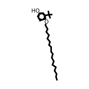 CCCCCCCCCCCCCCCCCCOc1ccc(O)cc1C(C)(C)C